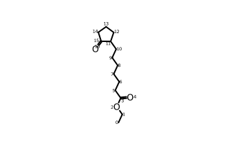 CCOC(=O)CCCCCCC1CCCC1=O